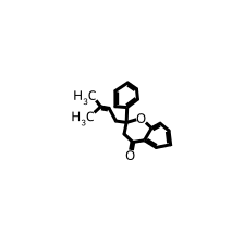 CC(C)=CCC1(c2ccccc2)CC(=O)c2ccccc2O1